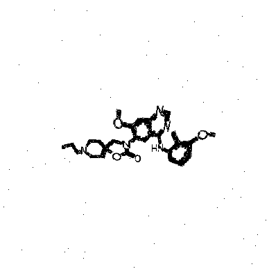 CCCN1CCC2(CC1)CN(c1cc3c(Nc4cccc(OC)c4C)ncnc3cc1OC)C(=O)O2